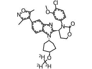 [2H]C([2H])([2H])O[C@H]1CC[C@H](n2c([C@@H]3CCOC(=O)N3c3ccc(Cl)c(OC)c3)nc3cc(-c4c(C)noc4C)ccc32)CC1